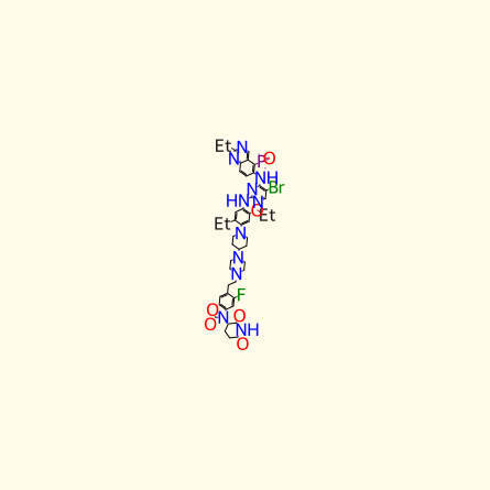 CCOc1cc(N2CCC(N3CCN(CCc4cc5oc(=O)n(C6CCC(=O)NC6=O)c5cc4F)CC3)CC2)c(CC)cc1Nc1ncc(Br)c(Nc2ccc3nc(CC)ncc3c2P(C)(C)=O)n1